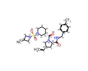 C=C[C@@H]1C[C@H](C(=O)NCc2ccc(C(F)(F)F)cc2)N(C(=O)[C@H]2CCCN(S(=O)(=O)N3CC(C#N)C3)C2)C1